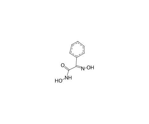 O=C(NO)/C(=N/O)c1ccccc1